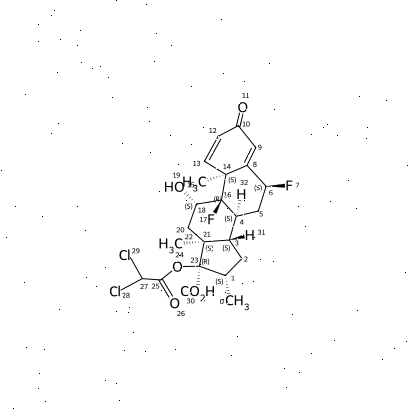 C[C@H]1C[C@H]2[C@@H]3C[C@H](F)C4=CC(=O)C=C[C@]4(C)[C@@]3(F)[C@@H](O)C[C@]2(C)[C@@]1(OC(=O)C(Cl)Cl)C(=O)O